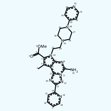 COC(=O)c1c(C)c2c(nc(N)n3nc(-c4ccccn4)nc23)n1CCN1CCN(c2ccncc2)CC1